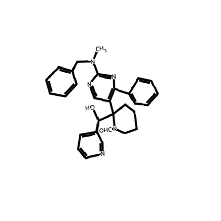 CN(Cc1ccccc1)c1ncc(C2(C(O)c3cccnc3)CCCCN2C=O)c(-c2ccccc2)n1